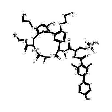 Cc1nc(-c2ccc(C(C)(C)C)cc2)nc(C)c1C(=O)NC(CNS(N)(=O)=O)C(=O)N(C)C1C(=O)NC(C)C(=O)NC(C(=O)NCC#N)Cc2cc(c(O)cc2OCCN)-c2cc1ccc2OCCN